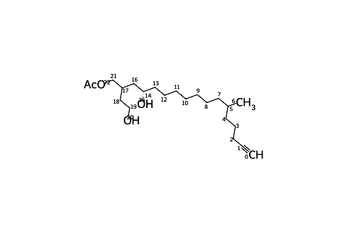 C#CCCCC(C)CCCCCCC[C@H](O)CC(CCO)COC(C)=O